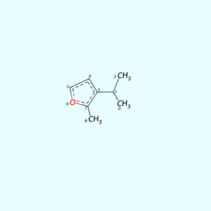 C[C](C)c1ccoc1C